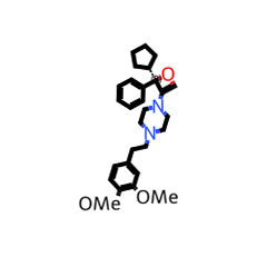 COc1ccc(CCN2CCN(C3=CO[C@@]3(c3ccccc3)C3CCCC3)CC2)cc1OC